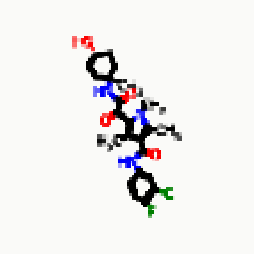 Cc1c(C(=O)Nc2ccc(F)c(Cl)c2)c(C)n(C)c1C(=O)C(=O)N[C@]1(C)CC[C@H](O)CC1